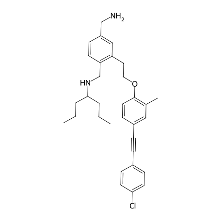 CCCC(CCC)NCc1ccc(CN)cc1CCOc1ccc(C#Cc2ccc(Cl)cc2)cc1C